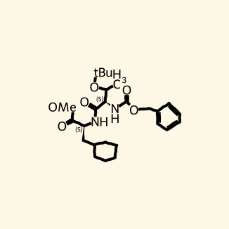 COC(=O)[C@H](CC1CCCCC1)NC(=O)[C@@H](NC(=O)OCc1ccccc1)C(C)OC(C)(C)C